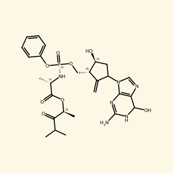 C=C1C(n2cnc3c2N=C(N)NC3O)C[C@H](O)[C@H]1CO[P@@](=O)(N[C@@H](C)C(=O)O[C@@H](C)C(=O)C(C)C)Oc1ccccc1